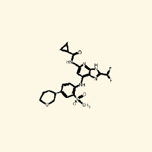 CS(=O)(=O)c1cc([C@@H]2CCCOC2)ccc1Nc1cc(NC(=O)C2CC2)nc2[nH]c(C(F)F)nc12